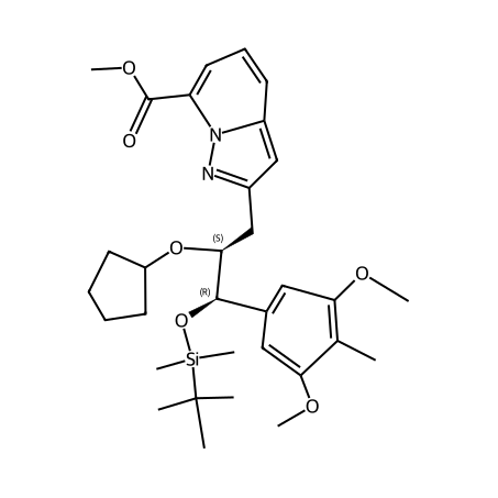 COC(=O)c1cccc2cc(C[C@H](OC3CCCC3)[C@H](O[Si](C)(C)C(C)(C)C)c3cc(OC)c(C)c(OC)c3)nn12